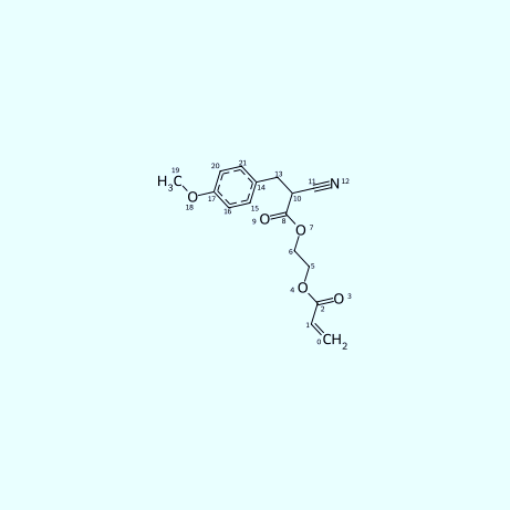 C=CC(=O)OCCOC(=O)C(C#N)Cc1ccc(OC)cc1